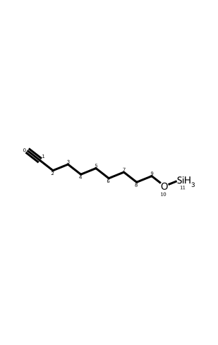 C#CCCCCCCCCO[SiH3]